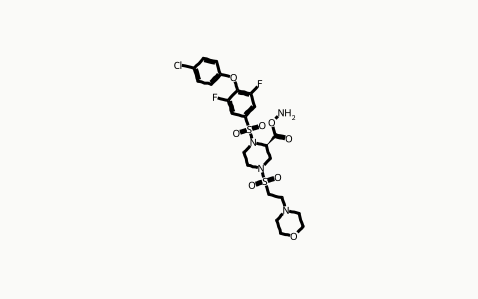 NOC(=O)[C@H]1CN(S(=O)(=O)CCN2CCOCC2)CCN1S(=O)(=O)c1cc(F)c(Oc2ccc(Cl)cc2)c(F)c1